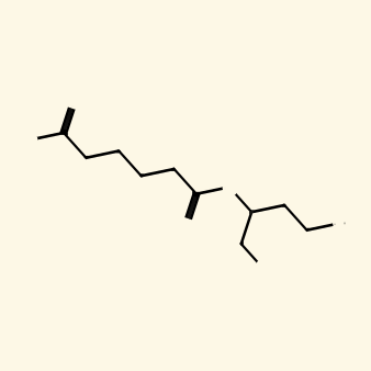 O=C(O)CCCCC(=O)OC(CO)CCO